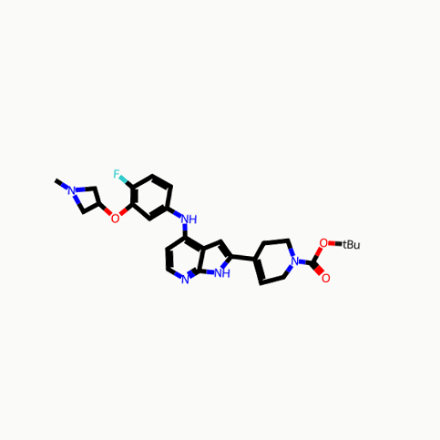 CN1CC(Oc2cc(Nc3ccnc4[nH]c(C5=CCN(C(=O)OC(C)(C)C)CC5)cc34)ccc2F)C1